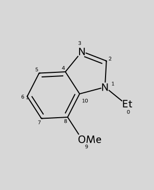 CCn1cnc2c[c]cc(OC)c21